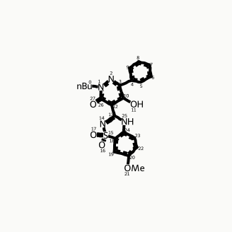 CCCCn1nc(-c2ccccc2)c(O)c(C2=NS(=O)(=O)c3cc(OC)ccc3N2)c1=O